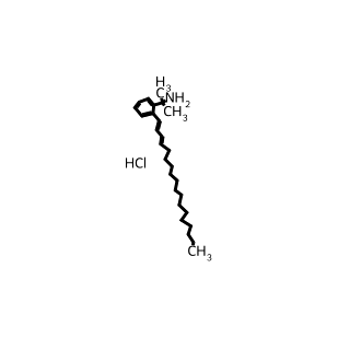 CCCCCCCCCCCCCCC=CC=Cc1ccccc1C(C)(C)N.Cl